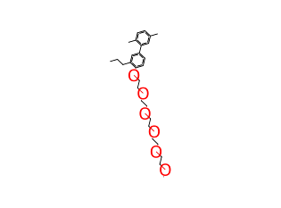 CCCc1cc(-c2cc(C)ccc2C)ccc1OCCOCCOCCOCCOCCOC